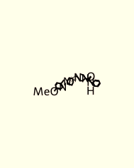 COc1ccc(CN2CCC[C@@H](CN3CCN(C(=O)Nc4ccccc4)CC3)C2)nc1